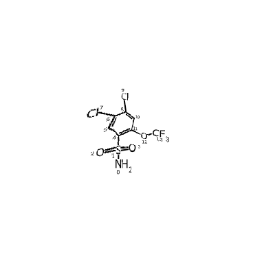 NS(=O)(=O)c1cc(Cl)c(Cl)cc1OC(F)(F)F